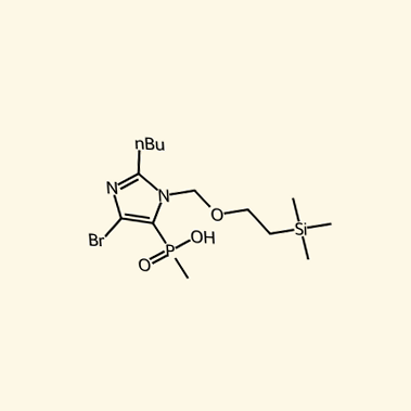 CCCCc1nc(Br)c(P(C)(=O)O)n1COCC[Si](C)(C)C